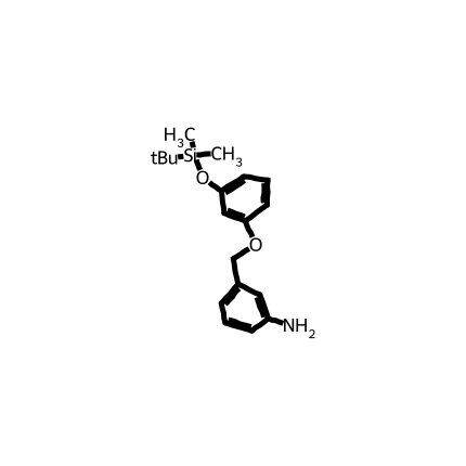 CC(C)(C)[Si](C)(C)Oc1cccc(OCc2cccc(N)c2)c1